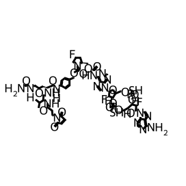 CC(C)[C@H](NC(=O)CCN1C(=O)C=CC1=O)C(=O)N[C@@H](CCCNC(N)=O)C(=O)Nc1ccc(COC(=O)N2C[C@@H](F)C[C@H]2COC(=O)Nc2ncnc3c2ncn3[C@@H]2OC3CO[P@@](=O)(S)O[C@H]4[C@@H](F)[C@H](n5cnc6c(N)ncnc65)O[C@@H]4CO[P@](=O)(S)O[C@H]3[C@H]2F)cc1